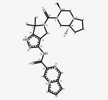 C[C@H]1CN2CCC[C@H]2CN1C(=O)N1Cc2c(NC(=O)c3cn4cccc4cn3)n[nH]c2C1(C)C